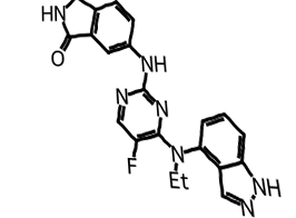 CCN(c1nc(Nc2ccc3c(c2)C(=O)NC3)ncc1F)c1cccc2[nH]ncc12